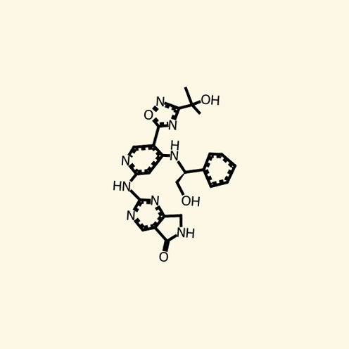 CC(C)(O)c1noc(-c2cnc(Nc3ncc4c(n3)CNC4=O)cc2N[C@H](CO)c2ccccc2)n1